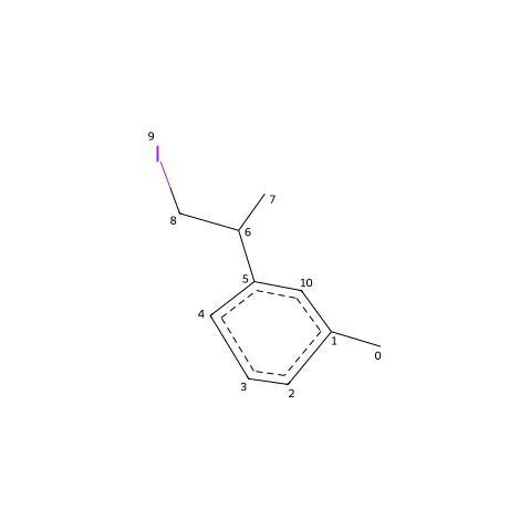 Cc1cccc(C(C)CI)c1